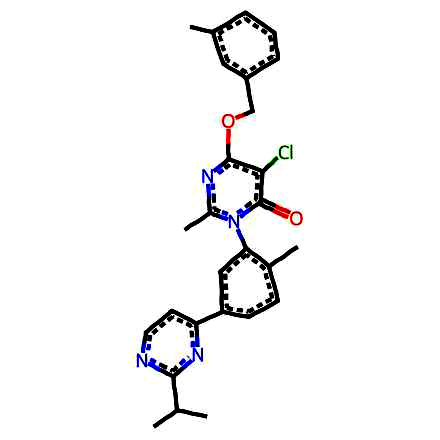 Cc1cccc(COc2nc(C)n(-c3cc(-c4ccnc(C(C)C)n4)ccc3C)c(=O)c2Cl)c1